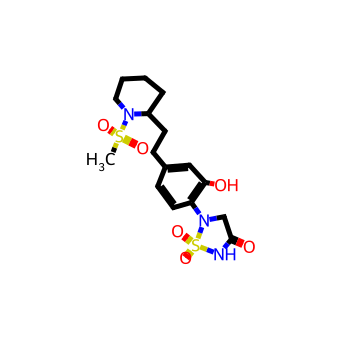 CS(=O)(=O)N1CCCCC1CCc1ccc(N2CC(=O)NS2(=O)=O)c(O)c1